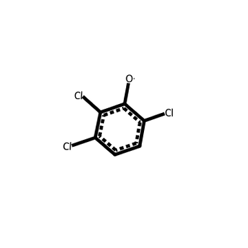 [O]c1c(Cl)ccc(Cl)c1Cl